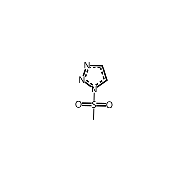 CS(=O)(=O)n1ccnn1